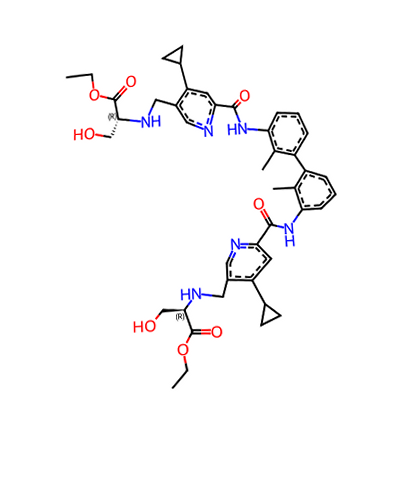 CCOC(=O)[C@@H](CO)NCc1cnc(C(=O)Nc2cccc(-c3cccc(NC(=O)c4cc(C5CC5)c(CN[C@H](CO)C(=O)OCC)cn4)c3C)c2C)cc1C1CC1